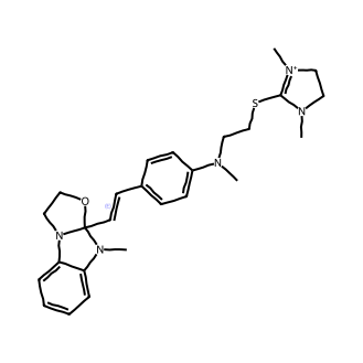 CN1CC[N+](C)=C1SCCN(C)c1ccc(/C=C/C23OCCN2c2ccccc2N3C)cc1